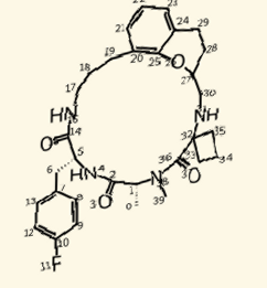 C[C@@H]1C(=O)N[C@H](Cc2ccc(F)cc2)C(=O)NCCCc2cccc3c2OC(CC3)CNC2(CCC2)C(=O)N1C